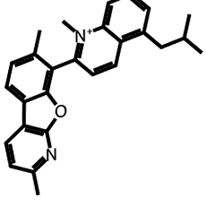 Cc1ccc2c(n1)oc1c(-c3ccc4c(CC(C)C)cccc4[n+]3C)c(C)ccc12